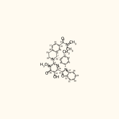 Cc1ccccc1[C@H]1c2cc(C(=O)N(C)C)ccc2CCN1c1nc(-c2nc3ccccc3o2)c(O)c(=O)n1C